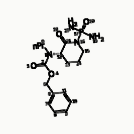 CCCN(C(=O)OCc1ccccc1)[C@H]1CCCN(P(N)(N)=O)C1=O